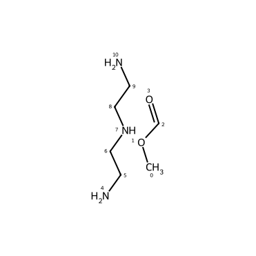 COC=O.NCCNCCN